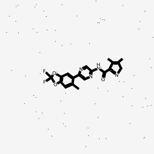 CC1=C(C)C(C(=O)Nc2cnc(-c3cc4c(cc3C)OC(F)(F)O4)cn2)=NC1